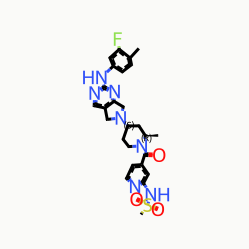 Cc1ccc(Nc2ncc3c(n2)CN([C@H]2CCN(C(=O)c4ccnc(NS(C)(=O)=O)c4)[C@H](C)C2)C3)cc1F